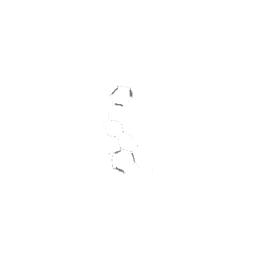 O=C(O)c1ccnc2c1CCC1CN(Cc3ccccc3)CCN21